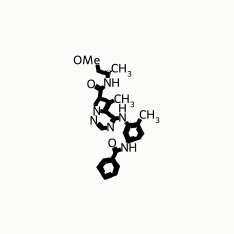 COC[C@H](C)NC(=O)C1CN2N=CN=C(Nc3cc(NC(=O)c4ccccc4)ccc3C)C2=C1C